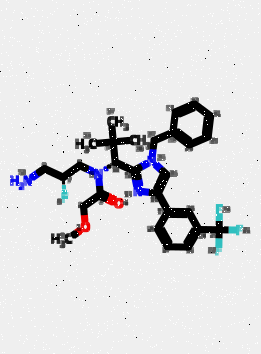 COCC(=O)N(C[C@H](F)CN)[C@@H](c1nc(-c2cccc(C(F)(F)F)c2)cn1Cc1ccccc1)C(C)(C)C